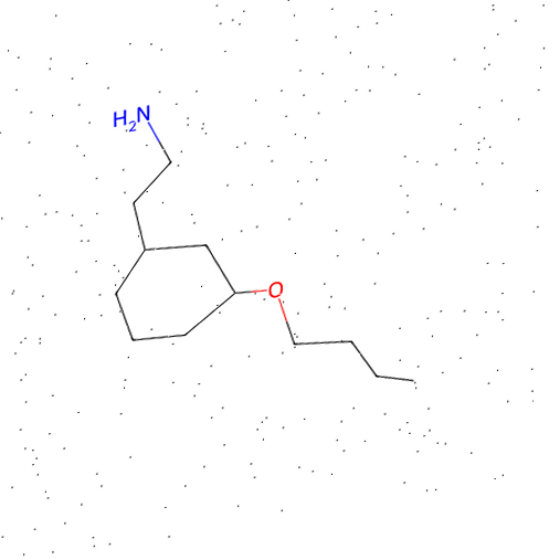 CCCCOC1CCCC(CCN)C1